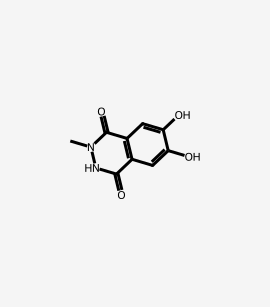 Cn1[nH]c(=O)c2cc(O)c(O)cc2c1=O